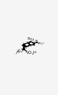 O=S(=O)(O)C(C1CC2C3CC(C2C1)C(C(S(=O)(=O)O)S(=O)(=O)O)C3)S(=O)(=O)O